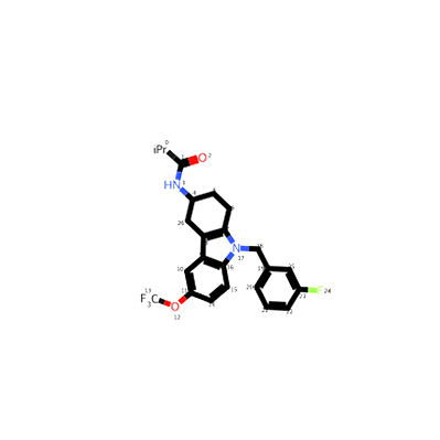 CC(C)C(=O)NC1CCc2c(c3cc(OC(F)(F)F)ccc3n2Cc2cccc(F)c2)C1